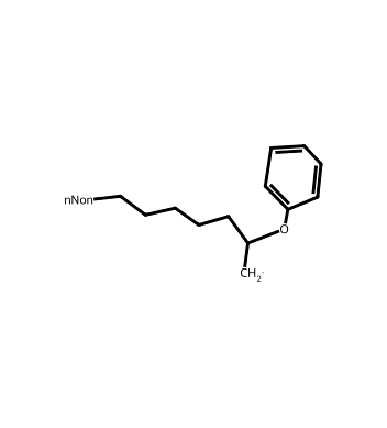 [CH2]C(CCCCCCCCCCCCCC)Oc1ccccc1